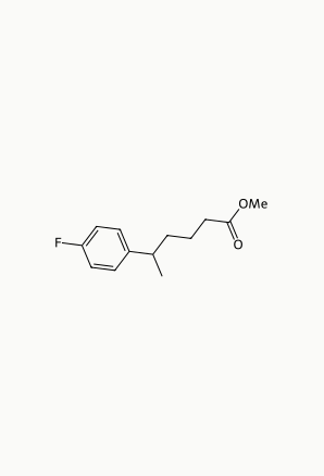 COC(=O)CCCC(C)c1ccc(F)cc1